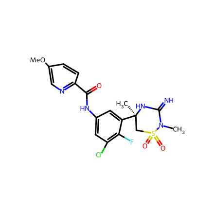 COc1ccc(C(=O)Nc2cc(Cl)c(F)c([C@]3(C)CS(=O)(=O)N(C)C(=N)N3)c2)nc1